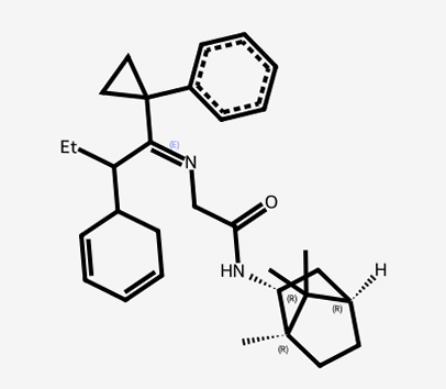 CCC(/C(=N\CC(=O)N[C@@H]1C[C@H]2CC[C@]1(C)C2(C)C)C1(c2ccccc2)CC1)C1C=CC=CC1